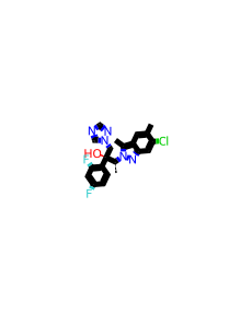 Cc1cc2c(C)n([C@H](C)[C@](O)(Cn3cncn3)c3ccc(F)cc3F)nc2cc1Cl